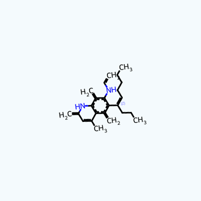 C=CNc1c(/C(=C\CCCC)CCC)c(=C)c2c(c1=C)NC(=C)C=C2C